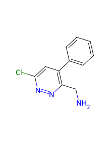 NCc1nnc(Cl)cc1-c1ccccc1